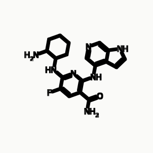 NC(=O)c1cc(F)c(NC2CCCCC2N)nc1Nc1cncc2[nH]ccc12